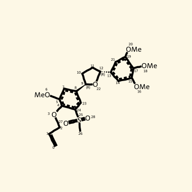 C=CCOc1c(OC)cc([C@H]2CC[C@H](c3cc(OC)c(OC)c(OC)c3)O2)cc1S(C)(=O)=O